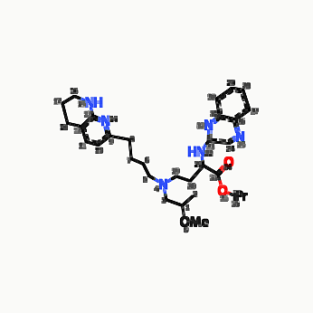 COC(C)CN(CCCCc1ccc2c(n1)NCCC2)CCC(Nc1cnc2ccccc2n1)C(=O)OC(C)C